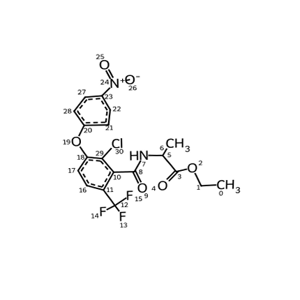 CCOC(=O)C(C)NC(=O)c1c(C(F)(F)F)ccc(Oc2ccc([N+](=O)[O-])cc2)c1Cl